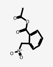 CC(=O)OC(=O)c1ccccc1C[N+](=O)[O-]